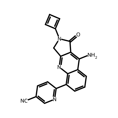 N#Cc1ccc(-c2cccc3c(N)c4c(nc23)CN(C2=CC=C2)C4=O)nc1